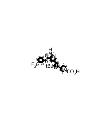 CC(C)(C)c1nn(C2CCN(C(=O)O)CC2)cc1-c1cnc(N)c(C(=O)Nc2cccc(C(F)(F)F)c2)c1